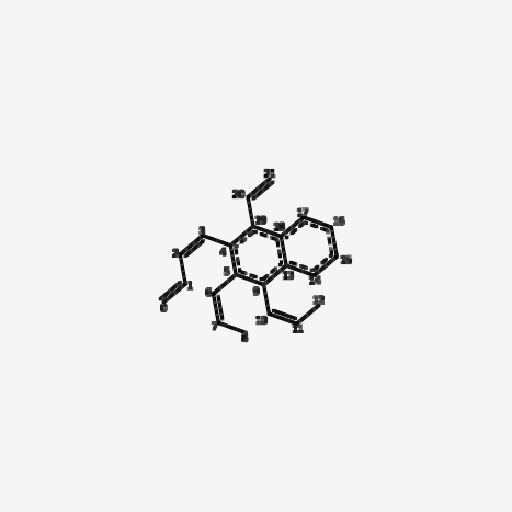 C=C/C=C\c1c(/C=C\C)c(/C=C\C)c2ccccc2c1C=C